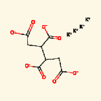 O=C([O-])CC(C(=O)[O-])C(CC(=O)[O-])C(=O)[O-].[K+].[K+].[K+].[K+]